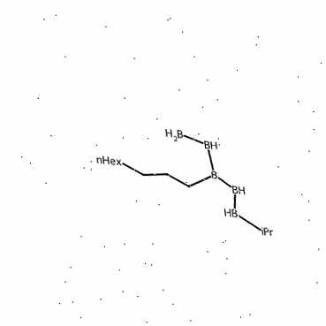 BBB(BBC(C)C)CCCCCCCCC